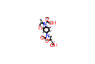 C[C@@H]1COc2cc(N3C[C@H](CO)OC3=O)ccc2N1C(=O)O